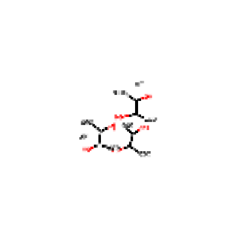 O=C([O-])C(O)C(O)C(=O)[O-].O=C([O-])C(O)C(O)C(=O)[O-].O=C([O-])C(O)C(O)C(=O)[O-].[Al+3].[Al+3]